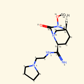 N=C(NCCN1CCCC1)[C@@H]1CC[C@@H]2CN1C(=O)N2OS(=O)(=O)O